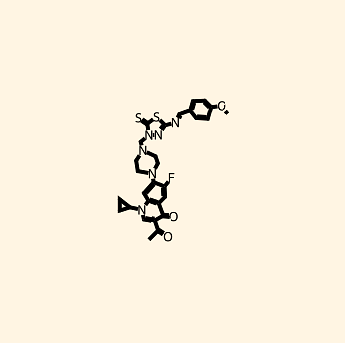 COc1ccc(/C=N/c2nn(CN3CCN(c4cc5c(cc4F)c(=O)c(C(C)=O)cn5C4CC4)CC3)c(=S)s2)cc1